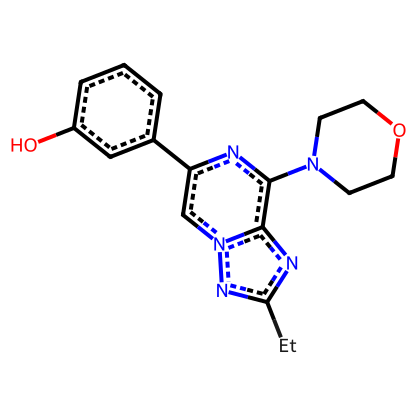 CCc1nc2c(N3CCOCC3)nc(-c3cccc(O)c3)cn2n1